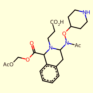 CC(=O)OCOC(=O)C1c2ccccc2CC(N(OC2CCNCC2)C(C)=O)N1CCC(=O)O